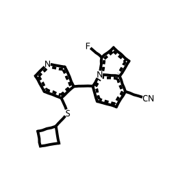 N#Cc1ccc(-c2cnccc2SC2CCC2)n2c(F)ccc12